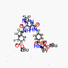 Cc1c(C(=O)OC(C)(C)C)ccc2c1CC[C@@H]2NC(=O)c1cc(C(=O)NCc2ccc(S(=O)(=O)N[C@H](C(=O)OC(C)(C)C)C(C)C)cc2)nc2ccnn12